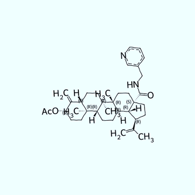 C=C(C)[C@@H]1CC[C@]2(C(=O)NCc3cccnc3)CC[C@]3(C)[C@H](CC[C@@H]4[C@@]5(C)CC[C@H](OC(C)=O)C(=C)[C@@H]5CC[C@]43C)[C@@H]12